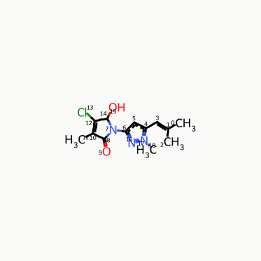 CC(C)=Cc1cc(N2C(=O)C(C)=C(Cl)C2O)nn1C